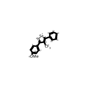 COc1ccc(-c2n[se]c(-c3ccccc3)c2C(F)(F)F)cc1